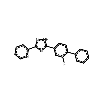 Fc1cc(-c2nc(-c3ccccn3)n[nH]2)ccc1-c1ccccc1